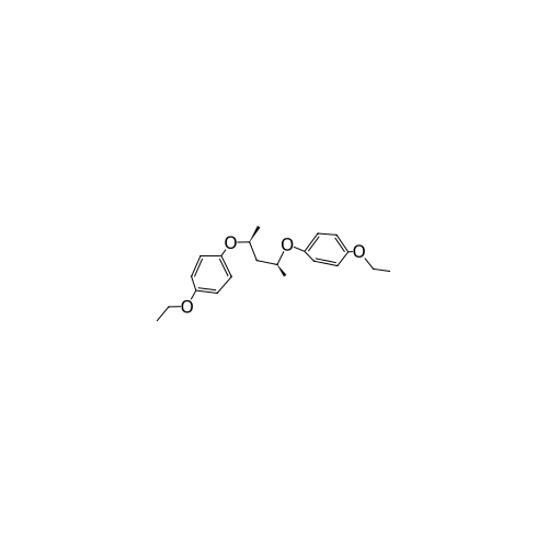 CCOc1ccc(O[C@@H](C)C[C@H](C)Oc2ccc(OCC)cc2)cc1